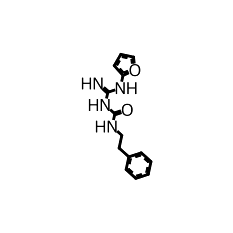 N=C(NC(=O)NCCc1ccccc1)Nc1ccco1